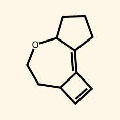 C1=CC2CCOC3CCCC3=C12